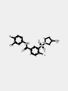 O=C(Nc1ccc(F)c(Cl)c1)c1ccc(F)c(S(=O)(=O)N2CCC(O)C2)c1